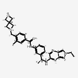 CCn1cc2ncc(N[C@@H](C)c3cccc(NC(=O)c4ccc(CN5CC6(COC6)C5)c(C)c4)c3)nc2n1